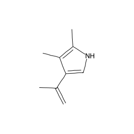 C=C(C)c1c[nH]c(C)c1C